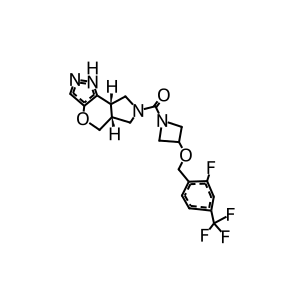 O=C(N1CC(OCc2ccc(C(F)(F)F)cc2F)C1)N1C[C@@H]2COc3cn[nH]c3[C@@H]2C1